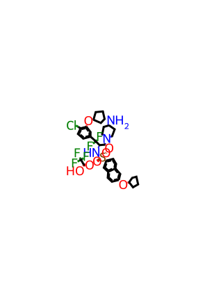 NC1CCN(C(=O)[C@@H](NS(=O)(=O)c2ccc3cc(OC4CCCC4)ccc3c2)C(F)(F)c2ccc(Cl)c(OC3CCCC3)c2)CC1.O=C(O)C(F)(F)F